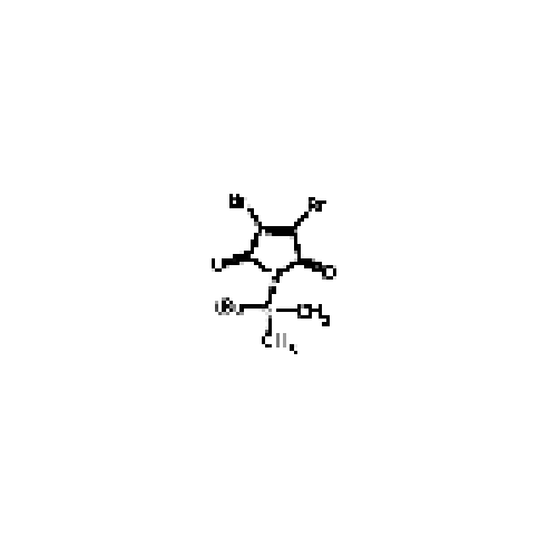 CC(C)(C)[Si](C)(C)N1C(=O)C(Br)=C(Br)C1=O